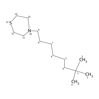 CC(C)(C)CCCCCCN1CCSCC1